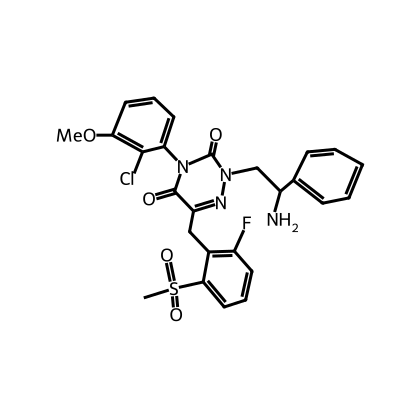 COc1cccc(-n2c(=O)c(Cc3c(F)cccc3S(C)(=O)=O)nn(CC(N)c3ccccc3)c2=O)c1Cl